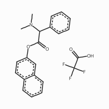 CN(C)C(C(=O)Oc1ccc2ccccc2c1)c1ccccc1.O=C(O)C(F)(F)F